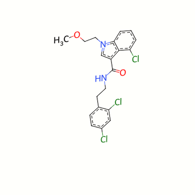 COCCn1cc(C(=O)NCCc2ccc(Cl)cc2Cl)c2c(Cl)cccc21